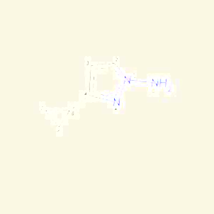 Nn1ccc(C2CC2)n1